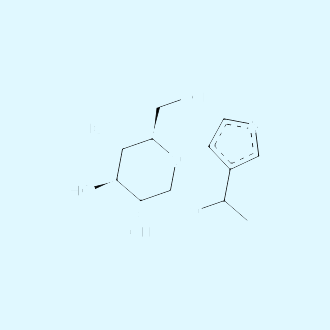 CC(O[C@H]1O[C@H](CO)[C@@H](O)[C@H](O)[C@H]1O)c1ccsc1